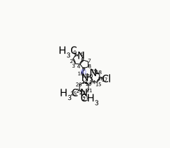 Cc1ccc2c(n1)CC/C2=C\n1c2c(c3cc(Cl)cnc31)CN(C)C(C)C2